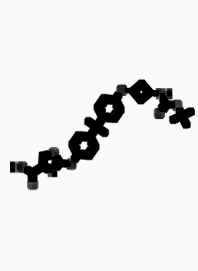 CC(C)(C)OC(=O)N[C@H]1C[C@H](Oc2ccc(C(C)(C)c3ccc(Oc4nc(C(=O)O)co4)cc3)cc2)C1